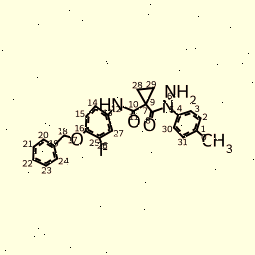 Cc1ccc(N(N)C(=O)C2(C(=O)Nc3ccc(OCc4ccccc4)c(F)c3)CC2)cc1